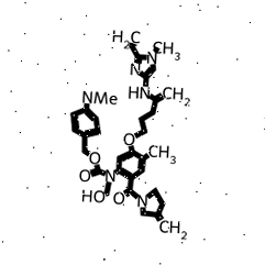 C=Cc1nc(NC(=C)CCCOc2cc(N(CO)C(=O)OCc3ccc(NC)cc3)c(C(=O)N3CCC(=C)C3)cc2C)cn1C